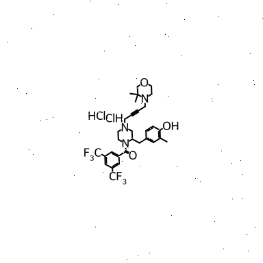 Cc1cc(CC2CN(CC#CCN3CCOCC3(C)C)CCN2C(=O)c2cc(C(F)(F)F)cc(C(F)(F)F)c2)ccc1O.Cl.Cl